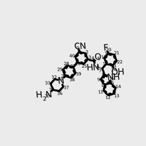 N#Cc1cc(C(=O)N[C@@H](c2cc3ccccc3[nH]2)c2cc(F)ccc2O)cc(-c2ccc(N3CCC(N)CC3)cc2)c1